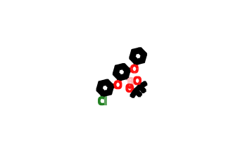 CC1(C)OB(c2c(Oc3ccccc3)cccc2Oc2cccc(Cl)c2)OC1(C)C